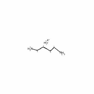 NCCCCN.[K+].[OH-]